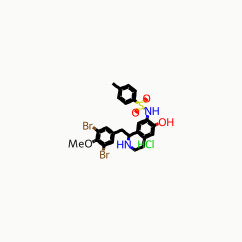 COc1c(Br)cc(CC2NCCc3cc(O)c(NS(=O)(=O)c4ccc(C)cc4)cc32)cc1Br.Cl